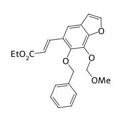 CCOC(=O)/C=C/c1cc2ccoc2c(OCOC)c1OCc1ccccc1